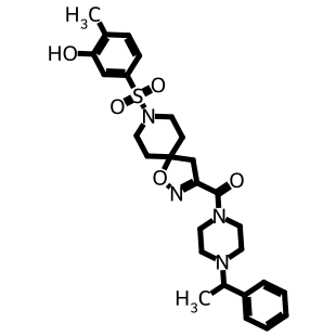 Cc1ccc(S(=O)(=O)N2CCC3(CC2)CC(C(=O)N2CCN(C(C)c4ccccc4)CC2)=NO3)cc1O